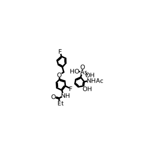 CC(=O)Nc1c(O)cccc1[As](=O)(O)O.CCC(=O)Nc1ccc(OCc2ccc(F)cc2)cc1F